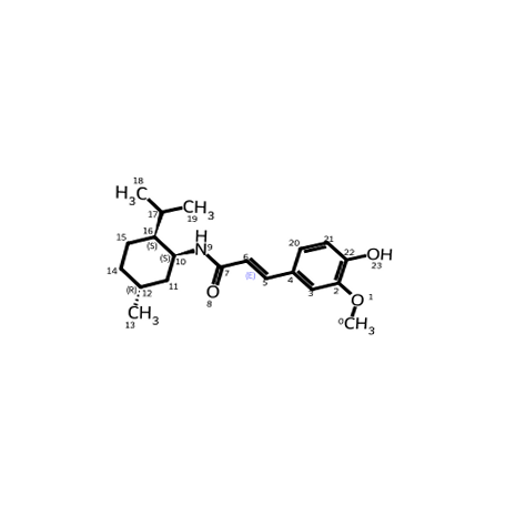 COc1cc(/C=C/C(=O)N[C@H]2C[C@H](C)CC[C@H]2C(C)C)ccc1O